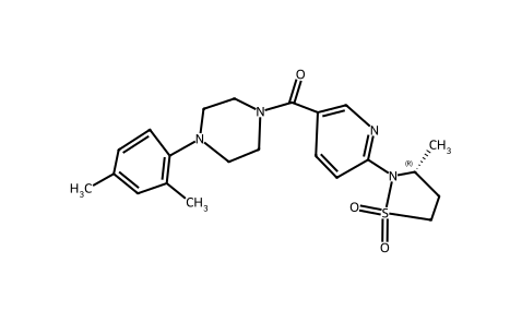 Cc1ccc(N2CCN(C(=O)c3ccc(N4[C@H](C)CCS4(=O)=O)nc3)CC2)c(C)c1